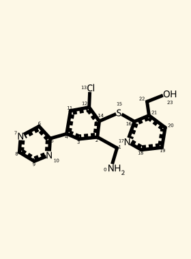 NCc1cc(-c2cnccn2)cc(Cl)c1Sc1ncccc1CO